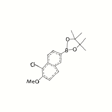 COc1ccc2cc(B3OC(C)(C)C(C)(C)O3)ccc2c1Cl